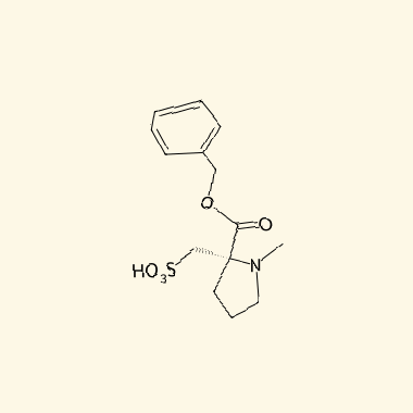 CN1CCC[C@@]1(CS(=O)(=O)O)C(=O)OCc1ccccc1